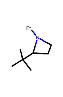 CCN1CCC1C(C)(C)C